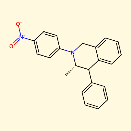 C[C@H]1C(c2ccccc2)c2ccccc2CN1c1ccc([N+](=O)[O-])cc1